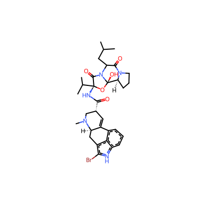 CC(C)CC1C(=O)N2CCC[C@H]2[C@]2(O)O[C@](NC(=O)[C@@H]3C=C4c5cccc6[nH]c(Br)c(c56)C[C@H]4N(C)C3)(C(C)C)C(=O)N12